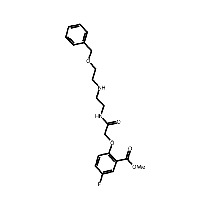 COC(=O)c1cc(F)ccc1OCC(=O)NCCNCCOCc1ccccc1